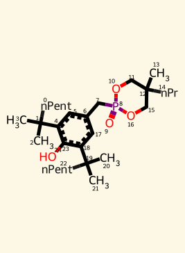 CCCCCC(C)(C)c1cc(CP2(=O)OCC(C)(CCC)CO2)cc(C(C)(C)CCCCC)c1O